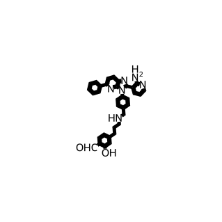 Nc1ncccc1-c1nc2ccc(-c3ccccc3)nc2n1-c1ccc(CNCCCc2ccc(C=O)c(O)c2)cc1